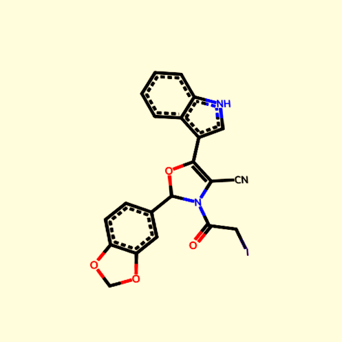 N#CC1=C(c2c[nH]c3ccccc23)OC(c2ccc3c(c2)OCO3)N1C(=O)CI